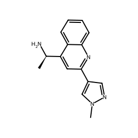 C[C@@H](N)c1cc(-c2cnn(C)c2)nc2ccccc12